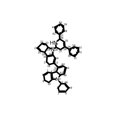 C1=CCC(N2C3=C(C=CCC3)C3C(C4=CC5=C(CC4)C4C=CC=CC4N5C4CC(c5ccccc5)=CC(c5ccccc5)N4)=CC=CC32)C=C1